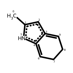 Cc1cc2c([nH]1)=CCCC=2